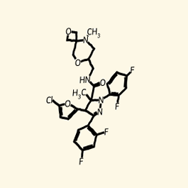 CN1CC(CNC(=O)C2(C)C(c3ccc(Cl)o3)C(c3ccc(F)cc3F)=NN2c2ccc(F)cc2F)OCC12COC2